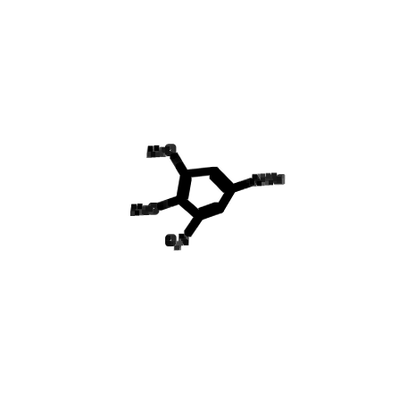 COc1cc(NC(C)=O)cc([N+](=O)[O-])c1OC